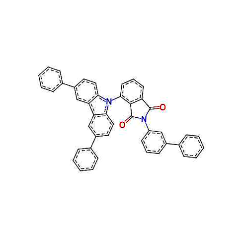 O=C1c2cccc(-n3c4ccc(-c5ccccc5)cc4c4cc(-c5ccccc5)ccc43)c2C(=O)N1c1cccc(-c2ccccc2)c1